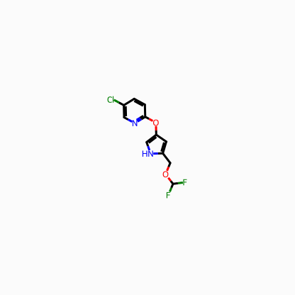 FC(F)OCc1cc(Oc2ccc(Cl)cn2)c[nH]1